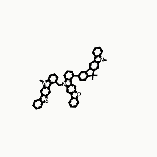 Cn1c2ccccc2c2cc3c(cc21)C(C)(C)c1ccc(-c2cccc4c2c2cc5oc6ccccc6c5cc2n4Cc2cccc4c2c2cc5sc6ccccc6c5cc2n4C)cc1-3